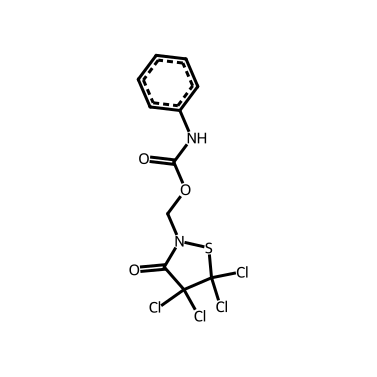 O=C(Nc1ccccc1)OCN1SC(Cl)(Cl)C(Cl)(Cl)C1=O